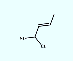 CC=CC(CC)CC